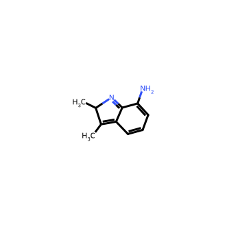 CC1=c2cccc(N)c2=NC1C